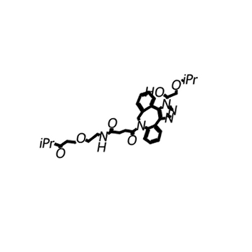 CC(C)OCC(O)n1nnc2c1-c1ccccc1CN(C(=O)CCC(=O)NCCOCCC(=O)C(C)C)c1ccccc1-2